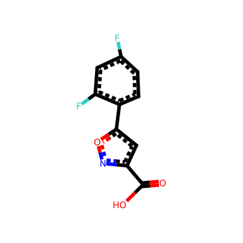 O=C(O)c1cc(-c2ccc(F)cc2F)on1